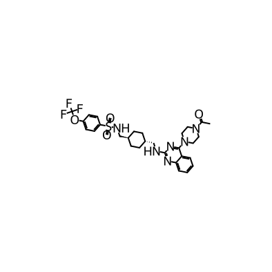 CC(=O)N1CCN(c2nc(NC[C@H]3CC[C@H](CNS(=O)(=O)c4ccc(OC(F)(F)F)cc4)CC3)nc3ccccc23)CC1